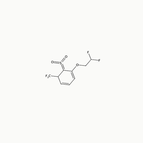 O=S(=O)=C1C(OCC(F)F)=CC=CC1C(F)(F)F